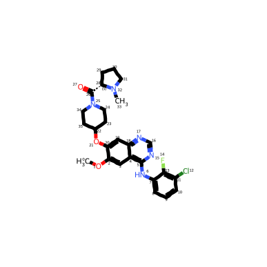 COc1cc2c(Nc3cccc(Cl)c3F)ncnc2cc1OC1CCN(C(=O)[C@@H]2CCCN2C)CC1